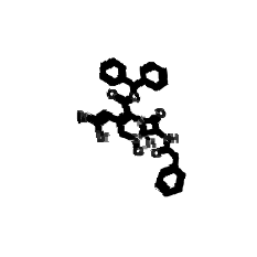 O=C(Cc1ccccc1)NC1C(=O)N2C(C(=O)OC(c3ccccc3)c3ccccc3)=C(C=C(Br)Br)C[S+]([O-])[C@H]12